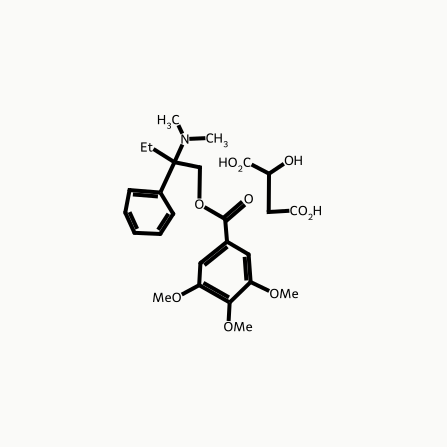 CCC(COC(=O)c1cc(OC)c(OC)c(OC)c1)(c1ccccc1)N(C)C.O=C(O)CC(O)C(=O)O